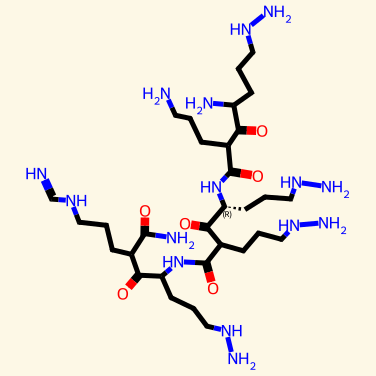 N=CNCCCC(C(N)=O)C(=O)C(CCCNN)NC(=O)C(CCCNN)C(=O)[C@@H](CCCNN)NC(=O)C(CCCN)C(=O)C(N)CCCNN